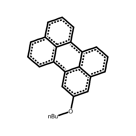 CCCCOc1cc2cccc3c4cccc5cccc(c(c1)c23)c54